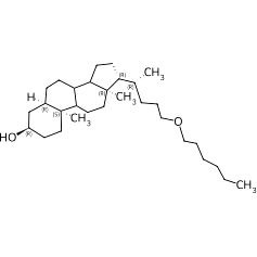 CCCCCCOCCC[C@@H](C)[C@H]1CCC2C3CC[C@@H]4C[C@H](O)CC[C@]4(C)C3CC[C@@]21C